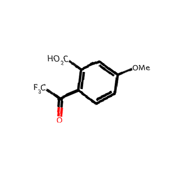 COc1ccc(C(=O)C(F)(F)F)c(C(=O)O)c1